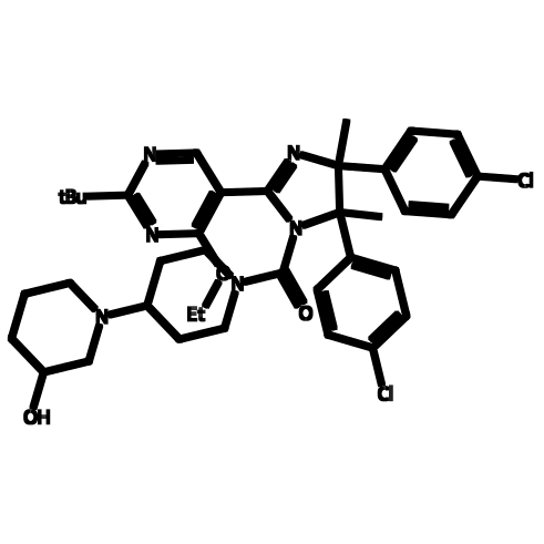 CCOc1nc(C(C)(C)C)ncc1C1=NC(C)(c2ccc(Cl)cc2)C(C)(c2ccc(Cl)cc2)N1C(=O)N1CCC(N2CCCC(O)C2)CC1